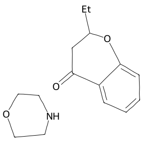 C1COCCN1.CCC1CC(=O)c2ccccc2O1